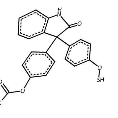 CC(=O)Oc1ccc(C2(c3ccc(OS)cc3)C(=O)Nc3ccccc32)cc1